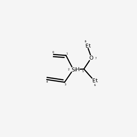 C=C[SiH](C=C)C(CC)OCC